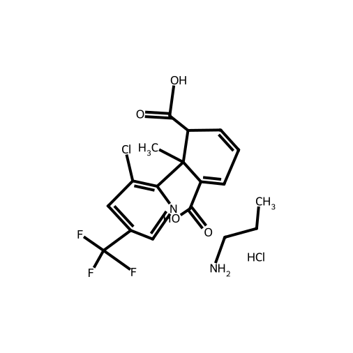 CC1(c2ncc(C(F)(F)F)cc2Cl)C(C(=O)O)=CC=CC1C(=O)O.CCCN.Cl